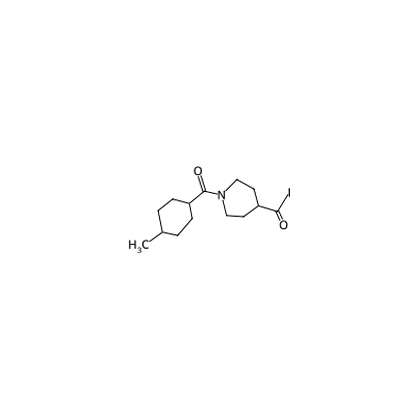 CC1CCC(C(=O)N2CCC(C(=O)I)CC2)CC1